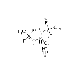 O=[PH](OC(F)(F)C(F)(F)F)OC(F)(F)C(F)(F)F.[H+].[H+]